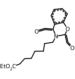 CCOC(=O)CCCCCCCN1C(=C=O)Oc2ccccc2C1=C=O